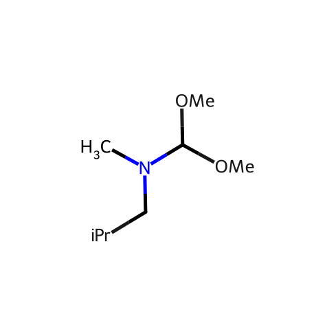 COC(OC)N(C)CC(C)C